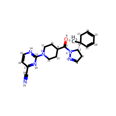 CC1([C@@H]2CC=NN2C(=O)C2CCN(c3nccc(C#N)n3)CC2)C=CC=CC1